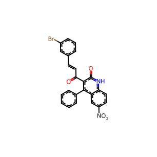 O=C(/C=C/c1cccc(Br)c1)c1c(-c2ccccc2)c2cc([N+](=O)[O-])ccc2[nH]c1=O